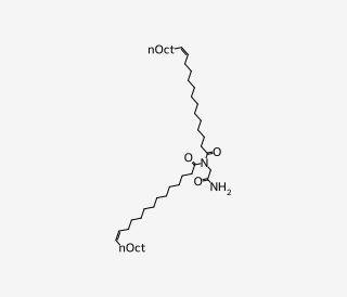 CCCCCCCC/C=C\CCCCCCCCCCCC(=O)N(CC(N)=O)C(=O)CCCCCCCCCCC/C=C\CCCCCCCC